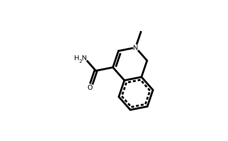 CN1C=C(C(N)=O)c2ccccc2C1